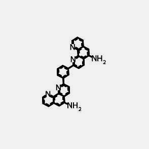 Nc1cc2cccnc2c2nc(-c3cccc(-c4ccc5c(N)cc6cccnc6c5n4)c3)ccc12